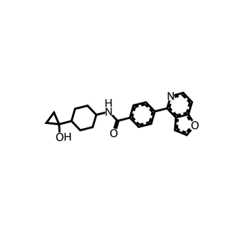 O=C(NC1CCC(C2(O)CC2)CC1)c1ccc(-c2nccc3occc23)cc1